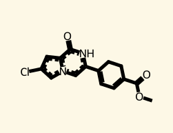 COC(=O)C1=CC=C(c2cn3cc(Cl)cc3c(=O)[nH]2)CC1